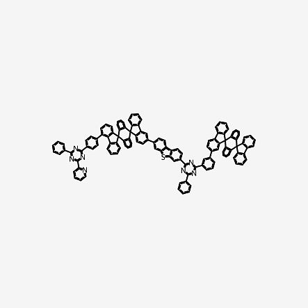 c1ccc(-c2nc(-c3cccc(-c4ccc5c(c4)C4(c6ccccc6-5)c5ccccc5C5(c6ccccc6-c6ccccc65)c5ccccc54)c3)nc(-c3ccc4c(c3)sc3cc(-c5ccc6c(c5)-c5ccccc5C65c6ccccc6C6(c7ccccc7-c7c(-c8ccc(-c9nc(-c%10ccccc%10)nc(-c%10ccccn%10)n9)cc8)cccc76)c6ccccc65)ccc34)n2)cc1